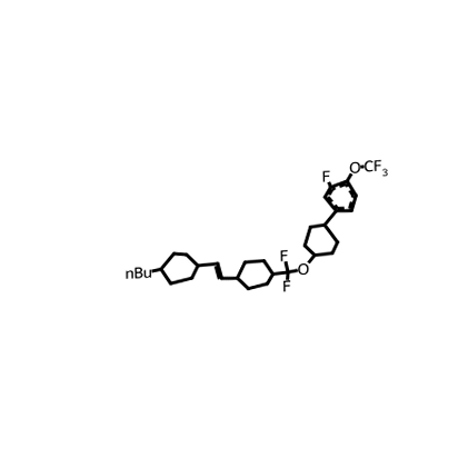 CCCCC1CCC(/C=C/C2CCC(C(F)(F)OC3CCC(c4ccc(OC(F)(F)F)c(F)c4)CC3)CC2)CC1